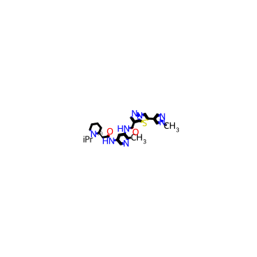 Cc1ncc(NC(=O)C[C@@H]2CCCCN2C(C)C)cc1NC(=O)c1cnn2cc(-c3cnn(C)c3)sc12